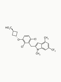 Cc1cc(C(F)(F)F)cc2c1cc(Cc1c(Cl)ccc(O[C@H]3C[C@H](C(=O)O)C3)c1Cl)n2C